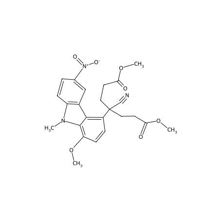 COC(=O)CCC(C#N)(CCC(=O)OC)c1ccc(OC)c2c1c1cc([N+](=O)[O-])ccc1n2C